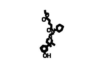 CCOC(=O)CCCC(=O)N(CCN1CCC(C)(c2cccc(O)c2)C(C)C1)C1CCCCC1